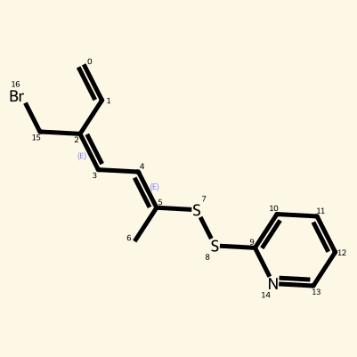 C=C/C(=C\C=C(/C)SSc1ccccn1)CBr